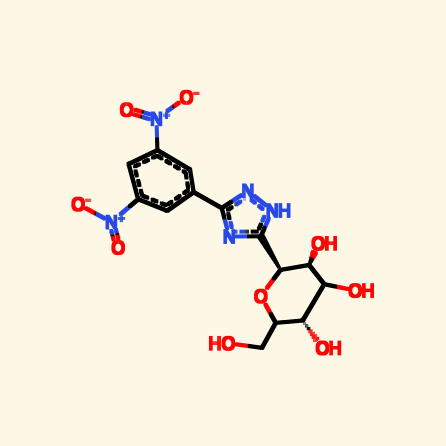 O=[N+]([O-])c1cc(-c2n[nH]c([C@@H]3OC(CO)[C@@H](O)C(O)[C@@H]3O)n2)cc([N+](=O)[O-])c1